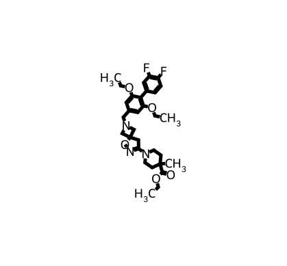 CCOC(=O)C1(C)CCN(C2=NOC3(C2)CN(Cc2cc(OCC)c(-c4ccc(F)c(F)c4)c(OCC)c2)C3)CC1